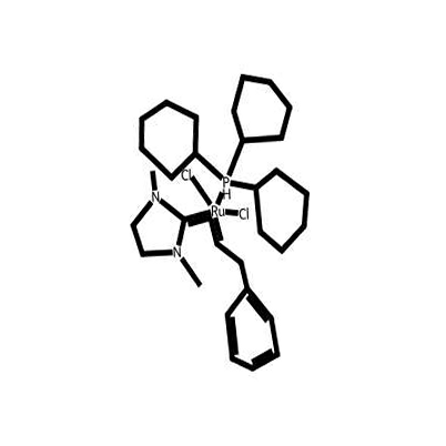 CN1CCN(C)[C]1=[Ru]([Cl])([Cl])(=[CH]Cc1ccccc1)[PH](C1CCCCC1)(C1CCCCC1)C1CCCCC1